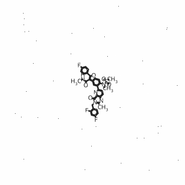 CNC(=O)c1c(-c2ccc(F)cc2)oc2cc(N(C)S(C)(=O)=O)c(-c3ccc4nc(C)n(Cc5ccc(F)cc5F)c(=O)c4n3)cc12